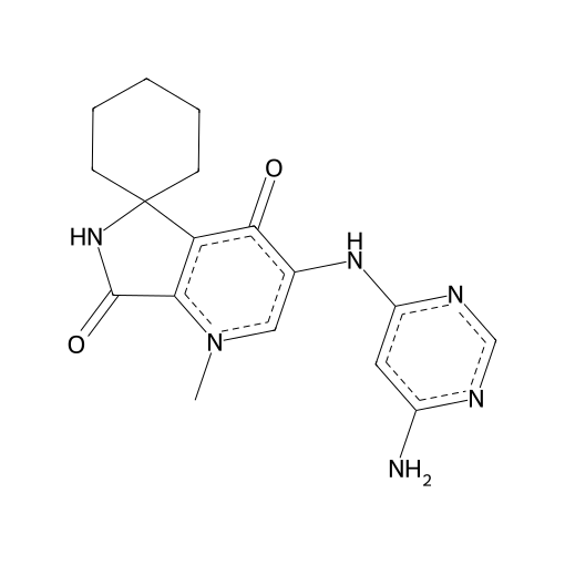 Cn1cc(Nc2cc(N)ncn2)c(=O)c2c1C(=O)NC21CCCCC1